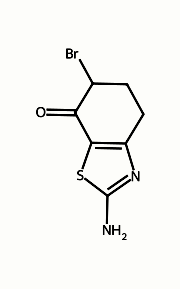 Nc1nc2c(s1)C(=O)C(Br)CC2